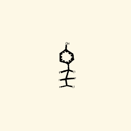 Oc1ccc(C(F)(Cl)C(F)(F)C(F)Cl)cc1